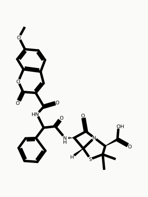 COc1ccc2cc(C(=O)NC(C(=O)N[C@@H]3C(=O)N4[C@@H]3SC(C)(C)[C@@H]4C(=O)O)c3ccccc3)c(=O)oc2c1